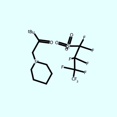 CC(C)(C)C(=O)C[S+]1CCCCC1.O=S(=O)([O-])C(F)(F)C(F)(F)C(F)(F)C(F)(F)F